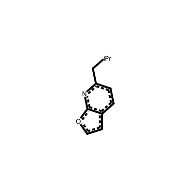 CC(C)Cc1ccc2ccoc2n1